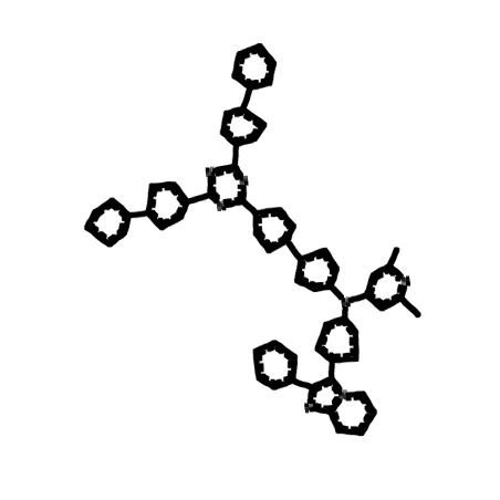 Cc1cc(N(c2ccc(-c3ccc(-c4nc(-c5ccc(-c6ccccc6)cc5)nc(-c5ccc(-c6ccccc6)cc5)n4)cc3)cc2)c2ccc(-c3c(-c4ccccc4)nc4ccccn34)cc2)cc(C)n1